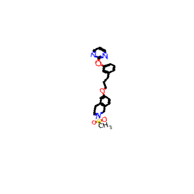 CS(=O)(=O)N1CCc2cc(OCCCc3cccc(Oc4ncccn4)c3)ccc2C1